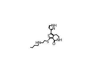 CCCCNCCSc1sc(-c2cc[nH]n2)c2c1C(=O)NCC2